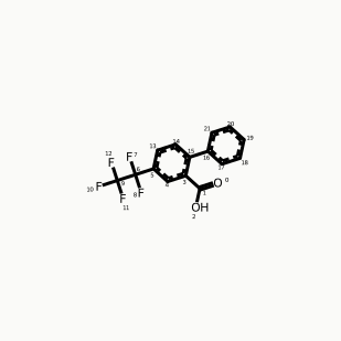 O=C(O)c1cc(C(F)(F)C(F)(F)F)ccc1-c1ccccc1